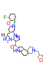 Cc1cc(Oc2c(F)cccc2F)ncc1-n1ncc(C(=O)c2cc3c4c(ccc3[nH]2)CN(CC2COC2)CC4)c1N